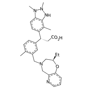 CC[C@@H]1CN(Cc2cc([C@@H](CC(=O)O)c3ccc4c(c3C)NN(C)N4C)ccc2C)Cc2ncccc2O1